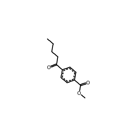 CCCCC(=O)c1ccc(C(=O)OC)cc1